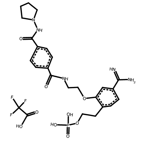 N=C(N)c1ccc(CCOP(=O)(O)O)c(OCCNC(=O)c2ccc(C(=O)NN3CCCC3)cc2)c1.O=C(O)C(F)(F)F